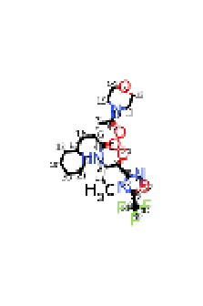 CC[C@H](NC(=O)[C@@H](CC(=O)N1CCOCC1)CC1CCCCC1)C(=O)c1noc(C(F)(F)F)n1